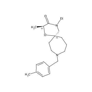 CCN1C[C@@]2(CCCN(Cc3ccc(C)cc3)CC2)O[C@@H](C)C1=O